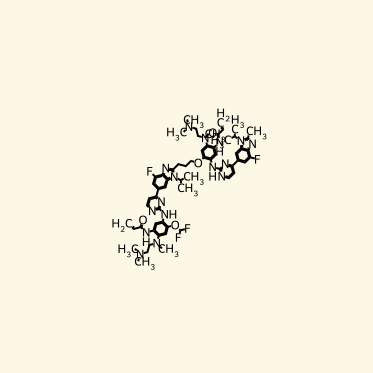 C=CC(=O)Nc1cc(Nc2nccc(-c3cc(F)c4nc(C)n(C(C)C)c4c3)n2)c(OCCCc2nc3c(F)cc(-c4ccnc(Nc5cc(NC(=O)C=C)c(N(C)CCN(C)C)cc5OC(F)F)n4)cc3n2C(C)C)cc1N(C)CCN(C)C